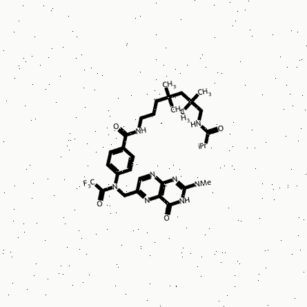 CNc1nc2ncc(CN(C(=O)C(F)(F)F)c3ccc(C(=O)NCCCC(C)(C)CC(C)(C)CNC(=O)C(C)C)cc3)nc2c(=O)[nH]1